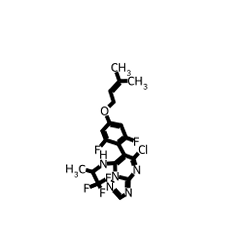 CC(C)=CCOc1cc(F)c(-c2c(Cl)nc3ncnn3c2NC(C)C(F)(F)F)c(F)c1